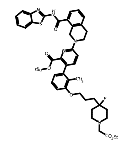 CCOC(=O)CN1CCC(F)(CCCOc2cccc(-c3ccc(N4CCc5cccc(C(=O)Nc6nc7ccccc7s6)c5C4)nc3C(=O)OC(C)(C)C)c2C)CC1